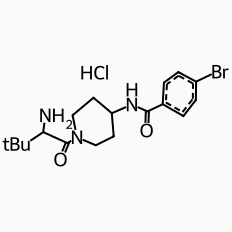 CC(C)(C)C(N)C(=O)N1CCC(NC(=O)c2ccc(Br)cc2)CC1.Cl